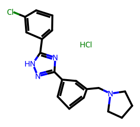 Cl.Clc1cccc(-c2nc(-c3cccc(CN4CCCC4)c3)n[nH]2)c1